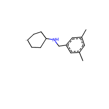 Cc1cc(C)cc(CNC2CC[CH]CC2)c1